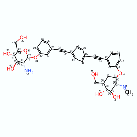 C=N[C@@H]1[C@@H](O)[C@H](O)[C@@H](CO)C[C@H]1Oc1cccc(C#Cc2ccc(C#Cc3cccc(O[C@@H]4O[C@H](CO)[C@@H](O)[C@H](O)[C@H]4N)c3)cc2)c1